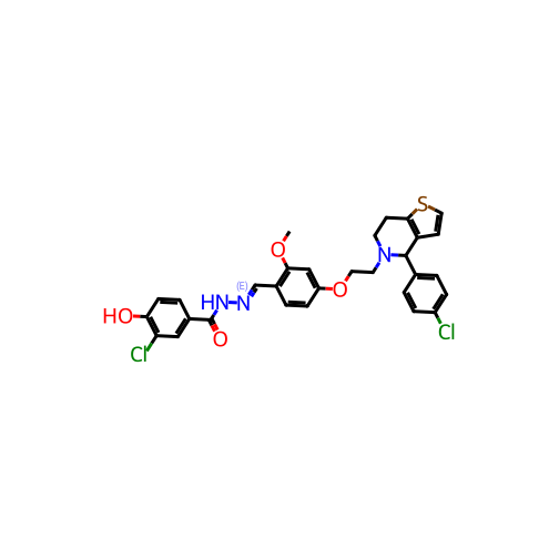 COc1cc(OCCN2CCc3sccc3C2c2ccc(Cl)cc2)ccc1/C=N/NC(=O)c1ccc(O)c(Cl)c1